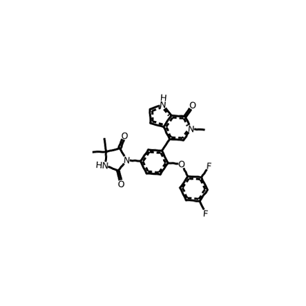 Cn1cc(-c2cc(N3C(=O)NC(C)(C)C3=O)ccc2Oc2ccc(F)cc2F)c2cc[nH]c2c1=O